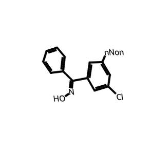 CCCCCCCCCc1cc(Cl)cc(C(=NO)c2ccccc2)c1